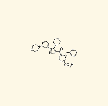 O=C(O)N1CCN(C(=O)c2cnn(-c3cccc(N4CCOCC4)c3)c2C2CCCCC2)[C@H](Cc2ccccc2)C1